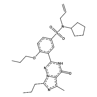 C=CCN(C1CCCC1)S(=O)(=O)c1ccc(OCCC)c(-c2nn3c(CCC)nc(C)c3c(=O)[nH]2)c1